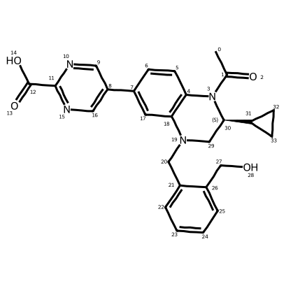 CC(=O)N1c2ccc(-c3cnc(C(=O)O)nc3)cc2N(Cc2ccccc2CO)C[C@@H]1C1CC1